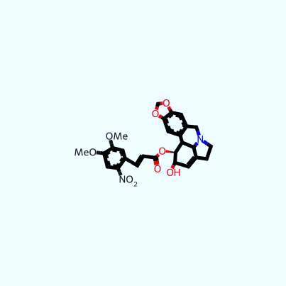 COc1cc(/C=C/C(=O)O[C@@H]2C(O)C=C3CCN4Cc5cc6c(cc5C2C34)OCO6)c([N+](=O)[O-])cc1OC